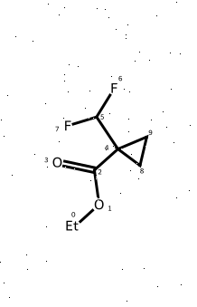 CCOC(=O)C1(C(F)F)CC1